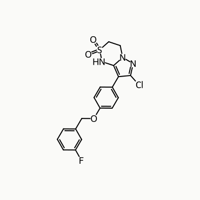 O=S1(=O)CCn2nc(Cl)c(-c3ccc(OCc4cccc(F)c4)cc3)c2N1